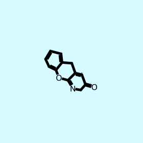 O=C1[C]=C2Cc3ccccc3OC2=NC1